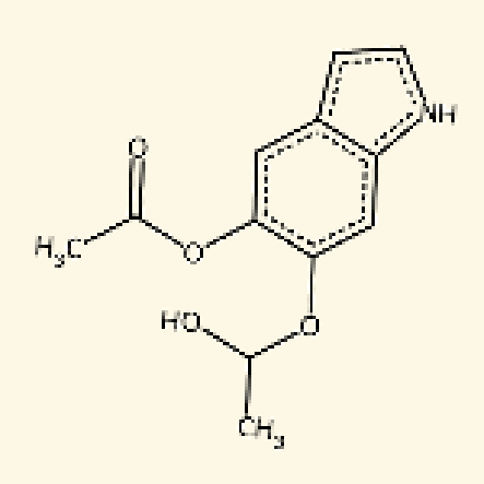 CC(=O)Oc1cc2cc[nH]c2cc1OC(C)O